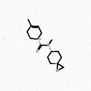 CC1=CC[C@H](C(=O)N(C)[C@H]2CC[C@@]3(CC2)CO3)CC1